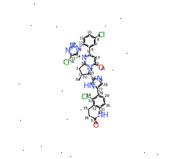 C[C@H]1Cc2nc(-c3cc(Cl)ccc3-n3cc(Cl)nn3)cc(=O)n2[C@@H]1c1ncc(-c2ccc3c(c2Cl)CCC(=O)N3)[nH]1